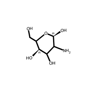 NC1C(O)[C@@H](O)C(CO)O[C@H]1O